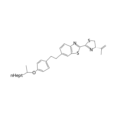 C=C(C)[C@H]1CSC(c2nc3ccc(CCc4ccc(OC(C)CCCCCCC)cc4)cc3s2)=N1